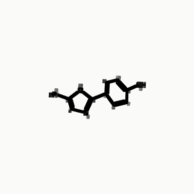 CCCc1cnc(-c2ccc(O)cc2)o1